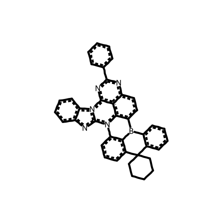 c1ccc(-c2nc3ccc4c5c3c(n2)n2c3ccccc3nc2n5-c2cccc3c2B4c2ccccc2C32CCCCC2)cc1